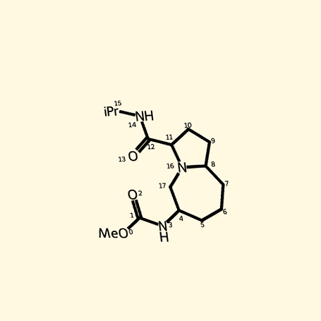 COC(=O)NC1CCCC2CCC(C(=O)NC(C)C)N2C1